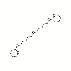 C(CCOC1CCCCO1)CCSCCCCCOC1CCCCO1